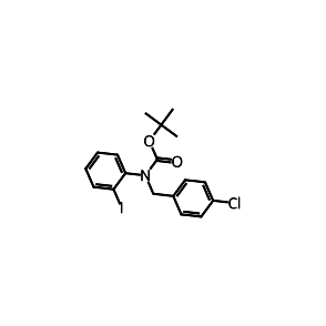 CC(C)(C)OC(=O)N(Cc1ccc(Cl)cc1)c1ccccc1I